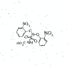 O=C(O)NS(=O)(=O)N(Oc1ccccc1[N+](=O)[O-])Oc1ccccc1[N+](=O)[O-]